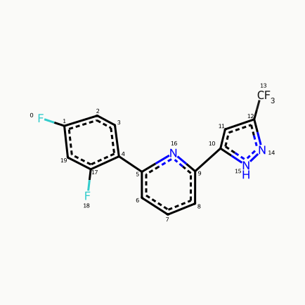 Fc1ccc(-c2cccc(-c3cc(C(F)(F)F)n[nH]3)n2)c(F)c1